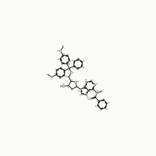 COc1ccc(C(OCC2OC(n3cnc4c(N(C)C(=O)c5ccccc5)ncnc43)CC2O)(c2ccccc2)c2ccc(OC)cc2)cc1